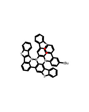 CC(C)(C)c1ccc(N2c3cc4sc5ccccc5c4cc3B3c4c(cc5sc6ccccc6c5c42)-c2cccc4c5sc6ccccc6c5n3c24)c(-c2ccccc2)c1